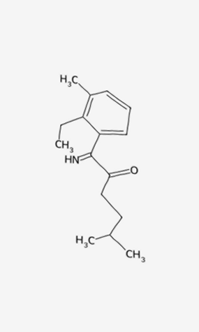 CCc1c(C)cccc1C(=N)C(=O)CCC(C)C